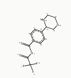 O=C(OC(=O)C(F)(F)F)c1ccc(C2COCCN2)cc1